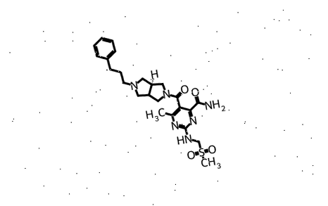 Cc1nc(NCS(C)(=O)=O)nc(C(N)=O)c1C(=O)N1CC2CN(CC[CH]c3ccccc3)C[C@H]2C1